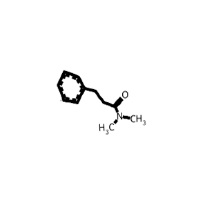 CN(C)C(=O)CCc1c[c]ccc1